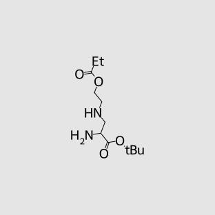 CCC(=O)OCCNCC(N)C(=O)OC(C)(C)C